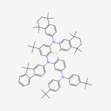 CC(C)(C)c1ccc(N(c2ccc(C(C)(C)C)cc2)c2ccc3c(c2)N(c2ccc4c(c2)C(C)(C)c2ccccc2-4)c2cc(C(C)(C)C)cc4c2B3c2cc3c(cc2N4c2ccc4c(c2)C(C)(C)CCC4(C)C)C(C)(C)CCC3(C)C)cc1